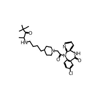 CC(NCCCCC1CCN(CC(=O)N2c3ccc(Cl)cc3C(=O)Nc3cccnc32)CC1)C(=O)C(C)(C)C